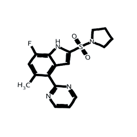 Cc1cc(F)c2[nH]c(S(=O)(=O)N3CCCC3)cc2c1-c1ncccn1